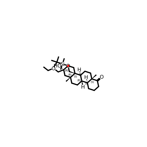 CCOC[C@@]1(O)CC[C@]2(CO[Si](C)(C)C(C)(C)C)[C@H]3CC[C@]4(C)C(=O)CCC[C@H]4[C@@H]3CC[C@]2(C)C1